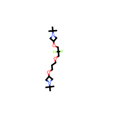 CC(C)(C)N1CC(OCCCOCC(F)(F)COC2CN(C(C)(C)C)C2)C1